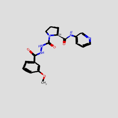 COc1cccc(C(=O)NNC(=O)N2CCC[C@H]2C(=O)Nc2cccnc2)c1